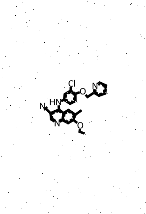 CCOc1cc2ncc(C#N)c(Nc3ccc(OCc4ccccn4)c(Cl)c3)c2cc1C